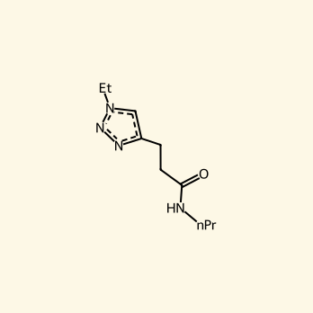 CCCNC(=O)CCc1cn(CC)nn1